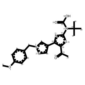 COc1ccc(Cn2cc(-c3nc(N(C(=O)O)C(C)(C)C)sc3C(C)=O)cn2)cc1